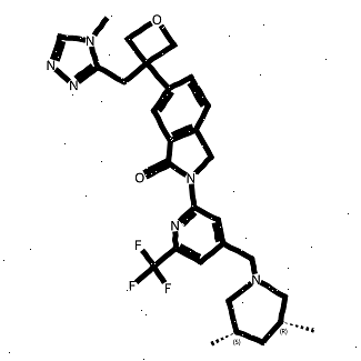 C[C@@H]1C[C@H](C)CN(Cc2cc(N3Cc4ccc(C5(Cc6nncn6C)COC5)cc4C3=O)nc(C(F)(F)F)c2)C1